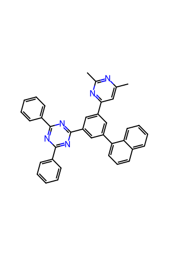 Cc1cc(-c2cc(-c3nc(-c4ccccc4)nc(-c4ccccc4)n3)cc(-c3cccc4ccccc34)c2)nc(C)n1